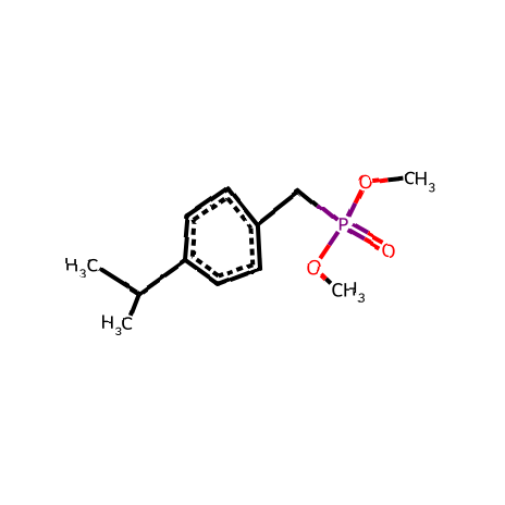 COP(=O)(Cc1ccc(C(C)C)cc1)OC